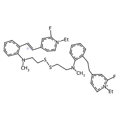 CC[n+]1ccc(/C=C/c2ccccc2N(C)CCSSCCN(C)c2ccccc2CCc2cc[n+](CC)c(F)c2)cc1F